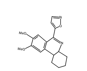 COc1cc2c(cc1OC)C1CCCCC1N=C2c1ccno1